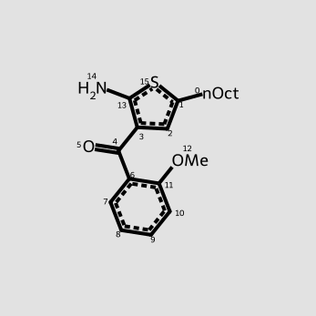 CCCCCCCCc1cc(C(=O)c2ccccc2OC)c(N)s1